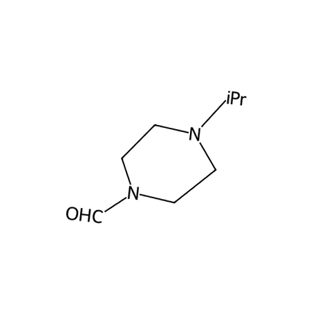 CC(C)N1CCN(C=O)CC1